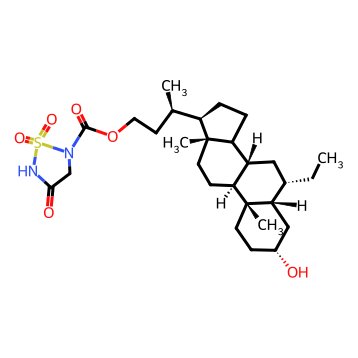 CC[C@H]1C[C@H]2C3CC[C@H]([C@H](C)CCOC(=O)N4CC(=O)NS4(=O)=O)[C@@]3(C)CC[C@@H]2[C@@]2(C)CC[C@@H](O)C[C@@H]12